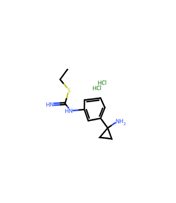 CCSC(=N)Nc1cccc(C2(N)CC2)c1.Cl.Cl